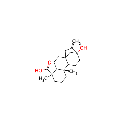 C=C1CC23CCC4C(C)(C(=O)O)CCC[C@@]4(C)C2CCC1(O)C3